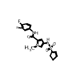 Cn1cc(NS(=O)(=O)C2CCCC2)cc1C(=O)Nc1ccc(F)c(F)c1